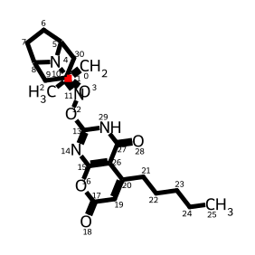 C=S(C)(=O)N1C2CCC1CC(=NOc1nc3oc(=O)cc(CCCCC)c3c(=O)[nH]1)C2